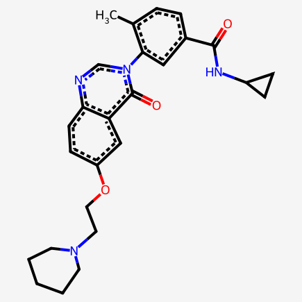 Cc1ccc(C(=O)NC2CC2)cc1-n1cnc2ccc(OCCN3CCCCC3)cc2c1=O